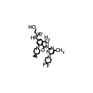 Cc1cc(N2CCC(F)(F)CC2)nc(NC(=O)c2c(C)cc(N[S+]([O-])CCO)cc2N2CCC3(CC2)CC3)n1